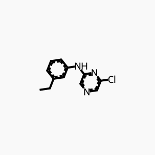 CCc1cccc(Nc2cncc(Cl)n2)c1